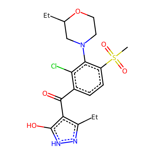 CCc1n[nH]c(O)c1C(=O)c1ccc(S(C)(=O)=O)c(N2CCOC(CC)C2)c1Cl